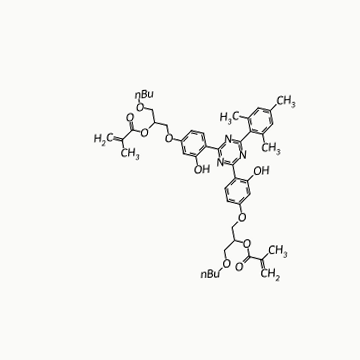 C=C(C)C(=O)OC(COCCCC)COc1ccc(-c2nc(-c3ccc(OCC(COCCCC)OC(=O)C(=C)C)cc3O)nc(-c3c(C)cc(C)cc3C)n2)c(O)c1